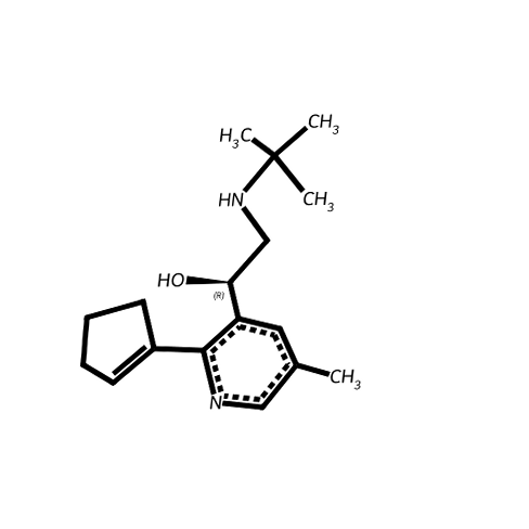 Cc1cnc(C2=CCCC2)c([C@@H](O)CNC(C)(C)C)c1